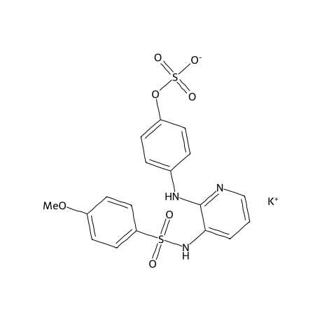 COc1ccc(S(=O)(=O)Nc2cccnc2Nc2ccc(OS(=O)(=O)[O-])cc2)cc1.[K+]